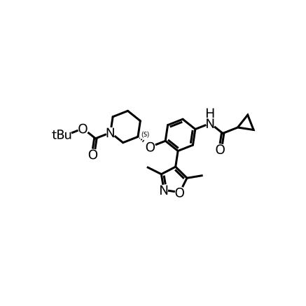 Cc1noc(C)c1-c1cc(NC(=O)C2CC2)ccc1O[C@H]1CCCN(C(=O)OC(C)(C)C)C1